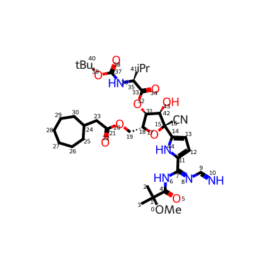 COC(C)(C)C(=O)N/C(=N/C=N)c1ccc([C@]2(C#N)O[C@H](COC(=O)CC3CCCCCC3)[C@@H](OC(=O)[C@@H](NC(=O)OC(C)(C)C)C(C)C)[C@H]2O)[nH]1